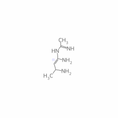 CC(=N)N/C(N)=C/C(C)N